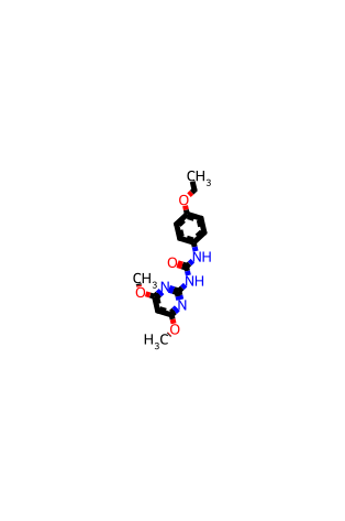 CCOc1ccc(NC(=O)Nc2nc(OC)cc(OC)n2)cc1